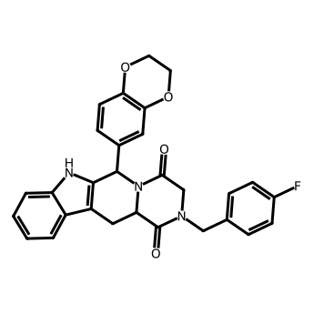 O=C1C2Cc3c([nH]c4ccccc34)C(c3ccc4c(c3)OCCO4)N2C(=O)CN1Cc1ccc(F)cc1